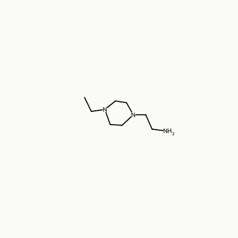 CCN1CCN(CCN)CC1